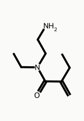 C=C(CC)C(=O)N(CC)CCN